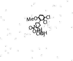 COc1ccc(Cl)c(Cl)c1[C@H]1C[C@@H]2N(C1)C(=O)OC2(C)CO